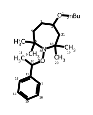 CCCCOC1CCC(C)(C)N(OC(C)c2ccccc2)C(C)(C)C1